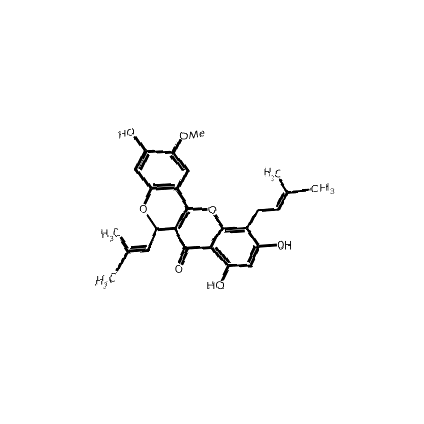 COc1cc2c(cc1O)OC(C=C(C)C)c1c-2oc2c(CC=C(C)C)c(O)cc(O)c2c1=O